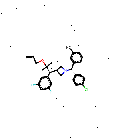 C=CCOC(C)(C)[C@H](c1cc(F)cc(F)c1)C1CN([C@@H](c2ccc(Cl)cc2)c2cccc(C#N)c2)C1